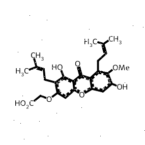 COc1c(O)cc2oc3cc(OCC(=O)O)c(CC=C(C)C)c(O)c3c(=O)c2c1CC=C(C)C